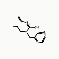 C=N/N=C(/S)N(CCC)Cc1ccncc1